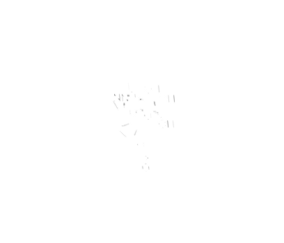 Cc1c(Cc2ccc(OC[C@@H]3CCCO3)cc2)c(O[C@@H]2O[C@H](CO)[C@@H](O)[C@H](O)[C@H]2O)nn1C(C)C